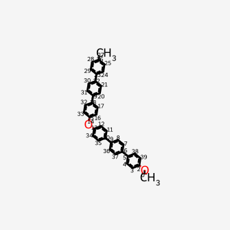 COc1ccc(-c2ccc(-c3ccc(Oc4ccc(-c5ccc(-c6ccc(C)cc6)cc5)cc4)cc3)cc2)cc1